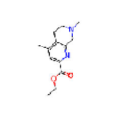 CCOC(=O)c1cc(C)c2c(n1)CN(C)CC2